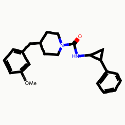 COc1cccc(CC2CCN(C(=O)NC3CC3c3ccccc3)CC2)c1